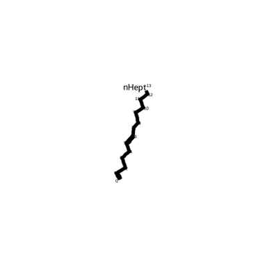 C=CCCCC=CCCCCCCCCCCCCC